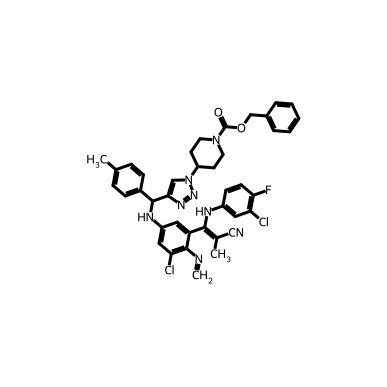 C=Nc1c(Cl)cc(NC(c2ccc(C)cc2)c2cn(C3CCN(C(=O)OCc4ccccc4)CC3)nn2)cc1/C(Nc1ccc(F)c(Cl)c1)=C(\C)C#N